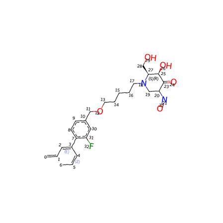 C=C/C=C(\C=C/C)c1ccc(COCCCCCN2CC(N=O)C(=O)[C@H](O)[C@@H]2CO)cc1F